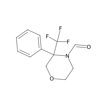 O=CN1CCOCC1(c1ccccc1)C(F)(F)F